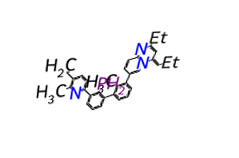 C=Cc1ccc(-c2cccc(-c3cccc(C4=CN5C(=NC(CC)=C/C5=C\CC)C=C4)c3C)c2P)nc1C